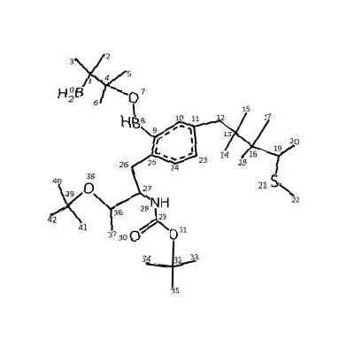 BC(C)(C)C(C)(C)OBc1cc(CC(C)(C)C(C)(C)C(C)SC)ccc1CC(NC(=O)OC(C)(C)C)C(C)OC(C)(C)C